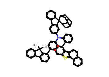 CC1(C)c2ccccc2-c2cccc(-c3ccc(N(c4ccc5c(c4)C4(c6ccccc6-5)C5CC6CC(C5)CC4C6)c4ccccc4-c4cccc5sc6c7ccccc7ccc6c45)cc3)c21